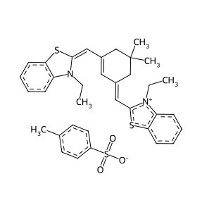 CCN1C(=CC2=CC(=Cc3sc4ccccc4[n+]3CC)CC(C)(C)C2)Sc2ccccc21.Cc1ccc(S(=O)(=O)[O-])cc1